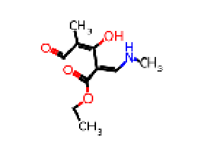 CCOC(=O)C(=C/NC)/C(O)=C(/C)C=O